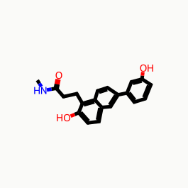 CNC(=O)CCc1c(O)ccc2cc(-c3cccc(O)c3)ccc12